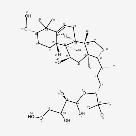 C[C@H](CC[C@@H](OC(O)[C@H](O)C(O)COO)C(C)(C)O)[C@H]1CC[C@@]2(C)[C@@H]3CC=C4[C@@H](CC[C@H](OO)C4(C)C)[C@]3(C)[C@H](O)C[C@]12C